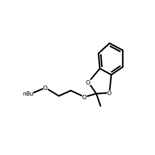 CCCCOCCOC1(C)Oc2ccccc2O1